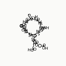 CNC(=O)C[C@@H]1NC(=O)c2csc(n2)-c2ccc(-c3nc(N(CCCC(=O)O)C(=O)OC4CCC(C(=O)O)CC4)cs3)nc2-c2csc(n2)-c2csc(n2)[C@H]([C@@H](O)c2ccccc2)NC(=O)CNC(=O)c2nc(sc2COC)C(C(C)C)NC(=O)c2nc1sc2C